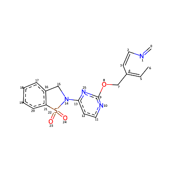 C=N/C=C\C(=C/C)COc1nccc(N2Cc3ccccc3S2(=O)=O)n1